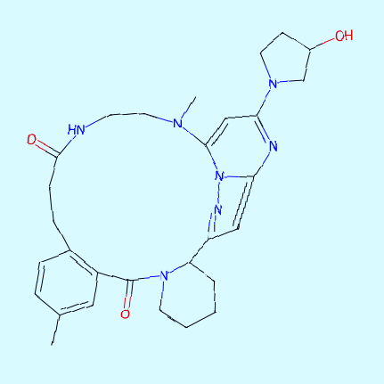 Cc1ccc2c(c1)C(=O)N1CCCCC1c1cc3nc(N4CCC(O)C4)cc(n3n1)N(C)CCNC(=O)CC2